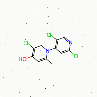 CC1=CC(O)=C(Cl)CN1c1cc(Cl)ncc1Cl